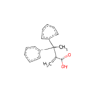 C=C(C(=O)O)C(C)(c1ccccc1)c1ccccc1